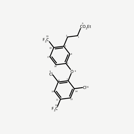 CCOC(=O)CCc1cc(Oc2c(Cl)cc(C(F)(F)F)cc2Cl)ccc1C(F)(F)F